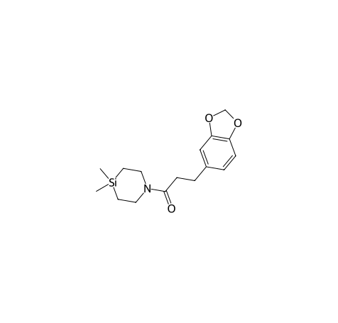 C[Si]1(C)CCN(C(=O)CCc2ccc3c(c2)OCO3)CC1